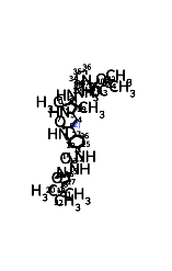 Cc1[nH]c(/C=C2\C(=O)Nc3cc(NC(=O)Nc4cc(C(C)(C)C)on4)ccc32)c(C)c1NN[C@@H]1CCCN1C(=O)OC(C)(C)C